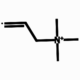 [CH]=CC[N+](C)(C)C